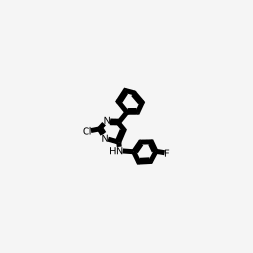 Fc1ccc(Nc2cc(-c3ccccc3)nc(Cl)n2)cc1